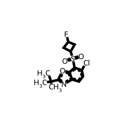 CC(C)(C)c1nc2ccc(Cl)c(S(=O)(=O)C3CC(F)C3)c2o1